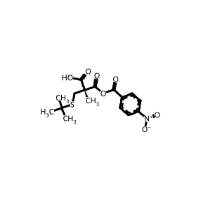 CC(C)(C)SC[C@](C)(C(=O)O)C(=O)OC(=O)c1ccc([N+](=O)[O-])cc1